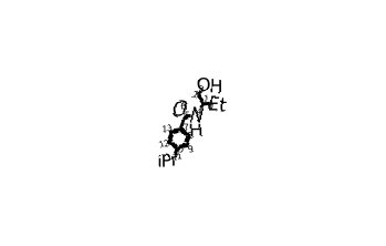 CCC(CO)NC(=O)c1ccc(C(C)C)cc1